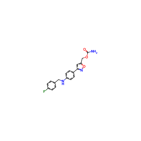 NC(=O)OCc1cc(-c2ccc(NCc3ccc(F)cc3)cc2)no1